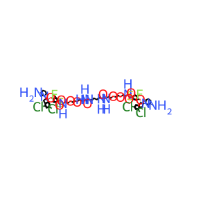 N[C@@H]1CCCN([C@H]2Cc3c(Cl)cc(Cl)cc3[C@@H]2Oc2ccc(S(=O)(=O)NCCOCCOCCNC(=O)NCCCCNC(=O)NCCOCCOCCNS(=O)(=O)c3ccc(O[C@H]4c5cc(Cl)cc(Cl)c5C[C@@H]4N4CCC[C@@H](N)C4)c(F)c3)cc2F)C1